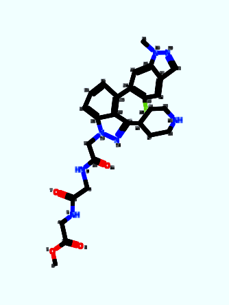 COC(=O)CNC(=O)CNC(=O)Cn1nc(C2CCNCC2)c2c(-c3cc4c(cnn4C)cc3F)cccc21